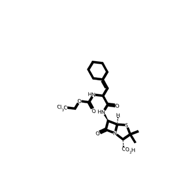 CC1(C)S[C@@H]2[C@H](NC(=O)C(C=C3CCCCC3)NC(=O)OCC(Cl)(Cl)Cl)C(=O)N2[C@H]1C(=O)O